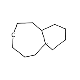 C1CCCC2CCCC[C]2CC1